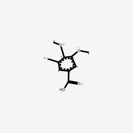 COc1cc(C(=O)O)cc(I)c1OC